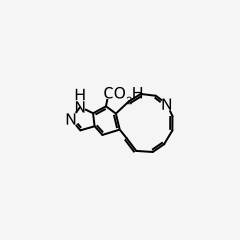 O=C(O)c1c2c(cc3cn[nH]c13)C=CC=CC=CN=CC=C2